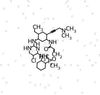 C=CC(=O)NC1CC(NC2NCC(Cl)C(NC3CCCCC3P(C)(C)=O)N2)C(CC)CC1C#CCN(C)C